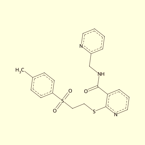 Cc1ccc(S(=O)(=O)CCSc2ncccc2C(=O)NCc2ccccn2)cc1